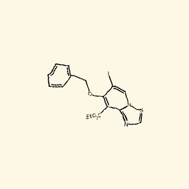 CCOC(=O)c1c(OCc2ccccc2)c(I)cn2ncnc12